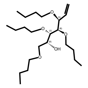 C=C[C@H](OCCCC)[C@@H](OCCCC)[C@@H](OCCCC)[C@H](O)COCCCC